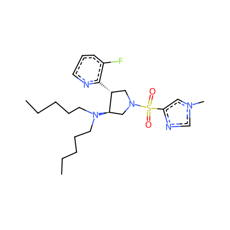 CCCCCN(CCCCC)[C@@H]1CN(S(=O)(=O)c2cn(C)cn2)C[C@H]1c1ncccc1F